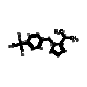 CC(C)c1bcnn1Cc1ccc(C(F)(F)F)cc1